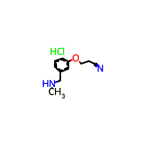 CNCc1cccc(OCCC#N)c1.Cl